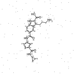 NCCCc1c(C(=O)O)[nH]c2ccc(C(=O)Nc3nc(C(=O)NC4CC4)cs3)cc12